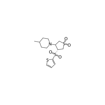 CC1CCN(C2CS(=O)(=O)C[C@@H]2S(=O)(=O)c2cccs2)CC1